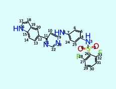 O=S(=O)(Nc1ccc(Nc2cc(-c3ccc4[nH]ccc4c3)ncn2)cc1)c1c(F)cccc1F